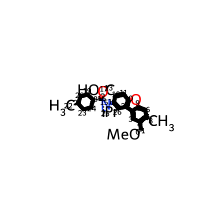 COCc1cc2c(cc1C)oc1cc(C(=O)O)c(N(C(=O)[C@H]3CC[C@H](C)CC3)C(C)C)cc12